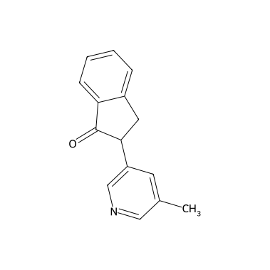 Cc1cncc(C2Cc3ccccc3C2=O)c1